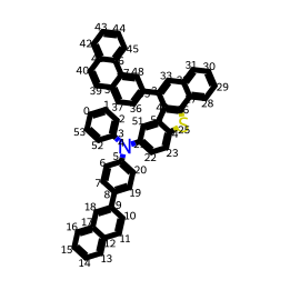 c1ccc(N(c2ccc(-c3ccc4ccccc4c3)cc2)c2ccc3sc4c5ccccc5cc(-c5ccc6ccc7ccccc7c6c5)c4c3c2)cc1